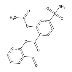 CC(=O)Oc1cc(S(N)(=O)=O)ccc1C(=O)Oc1ccccc1C=O